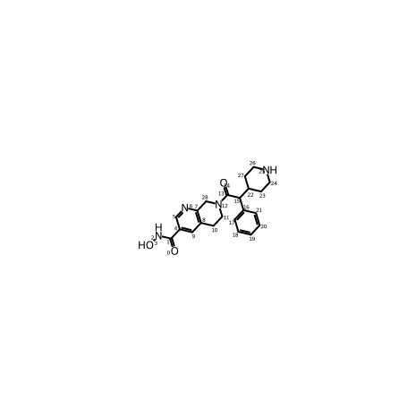 O=C(NO)c1cnc2c(c1)CCN(C(=O)C(c1ccccc1)C1CCNCC1)C2